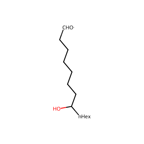 CCCCCCC(O)CCCCCC[C]=O